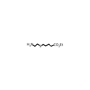 CCOC(=O)CCCCSCCN